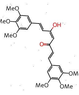 COc1cc(/C=C/C(=O)/C=C(O)\C=C\c2cc(OC)c(OC)c(OC)c2)cc(OC)c1OC